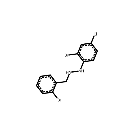 Clc1ccc(NNCc2ccccc2Br)c(Br)c1